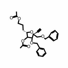 C#C[C@]1(COCc2ccccc2)O[C@@H](CCCOC(C)=O)C(OC(C)=O)C1OCc1ccccc1